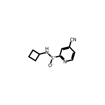 N#Cc1ccnc([S+]([O-])NC2CCC2)c1